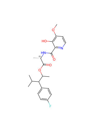 COc1ccnc(C(=O)N[C@@H](C)C(=O)OC(C)C(c2ccc(F)cc2)C(C)C)c1O